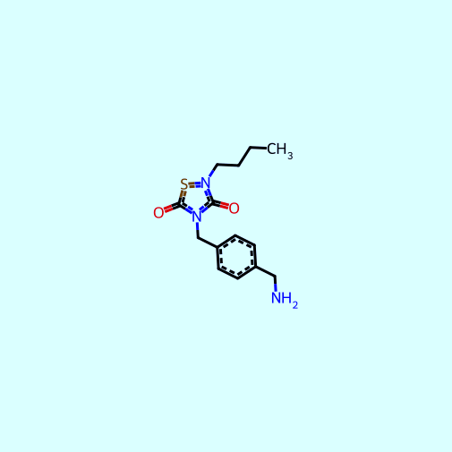 CCCCn1sc(=O)n(Cc2ccc(CN)cc2)c1=O